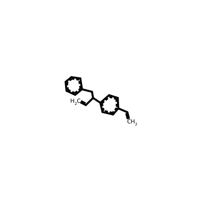 C=Cc1ccc(C(C=C)Cc2ccccc2)cc1